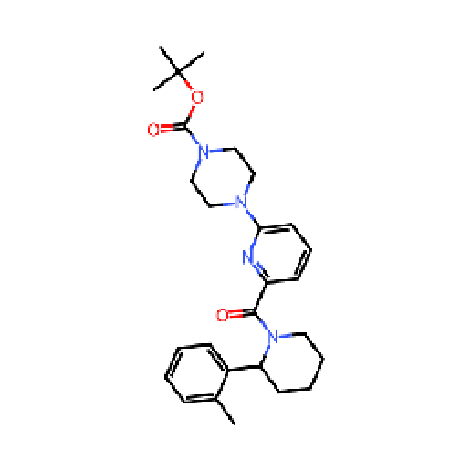 Cc1ccccc1C1CCCCN1C(=O)c1cccc(N2CCN(C(=O)OC(C)(C)C)CC2)n1